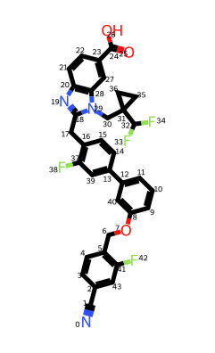 N#Cc1ccc(COc2cccc(-c3ccc(Cc4nc5ccc(C(=O)O)cc5n4CC4(C(F)F)CC4)c(F)c3)c2)c(F)c1